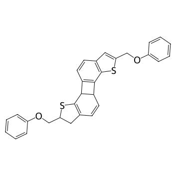 C1=CC2c3c(ccc4cc(COc5ccccc5)sc34)C2C2=C1CC(COc1ccccc1)S2